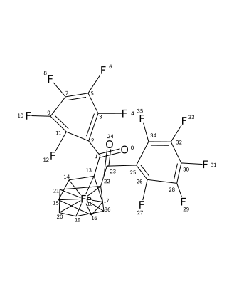 O=C(c1c(F)c(F)c(F)c(F)c1F)[C]12[CH]3[CH]4[CH]5[CH]1[Fe]45321678[CH]2[CH]1[CH]6[C]7(C(=O)c1c(F)c(F)c(F)c(F)c1F)[CH]28